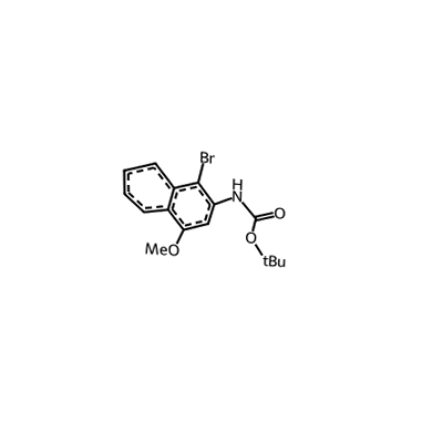 COc1cc(NC(=O)OC(C)(C)C)c(Br)c2ccccc12